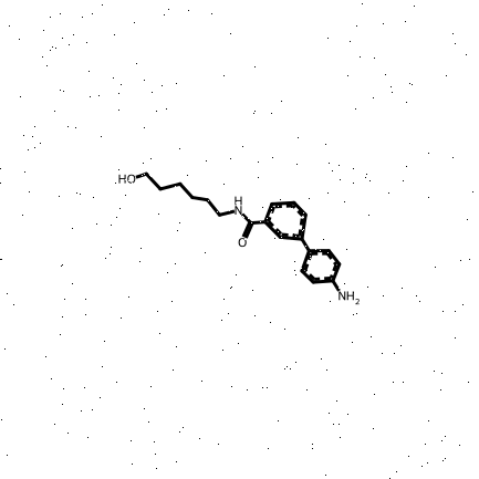 Nc1ccc(-c2cccc(C(=O)NCCCCCCO)c2)cc1